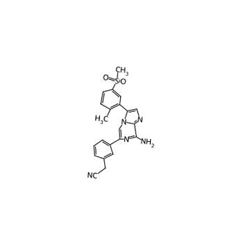 Cc1ccc(S(C)(=O)=O)cc1-c1cnc2c(N)nc(-c3cccc(CC#N)c3)cn12